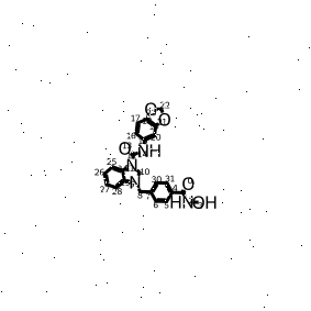 O=C(NO)c1ccc(CN2CN(C(=O)Nc3ccc4c(c3)OCO4)c3ccccc32)cc1